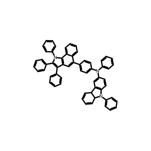 C1=CC2c3cc(N(c4ccccc4)c4ccc(-c5cc6c(-c7ccccc7)c(-c7ccccc7)n(-c7ccccc7)c6c6ccccc56)cc4)ccc3N(c3ccccc3)C2C=C1